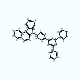 c1ccc(-c2cc(-c3ccc(-n4c5ccccc5c5c6ccccc6ccc54)cc3)cc(-c3ccccc3)n2)cc1